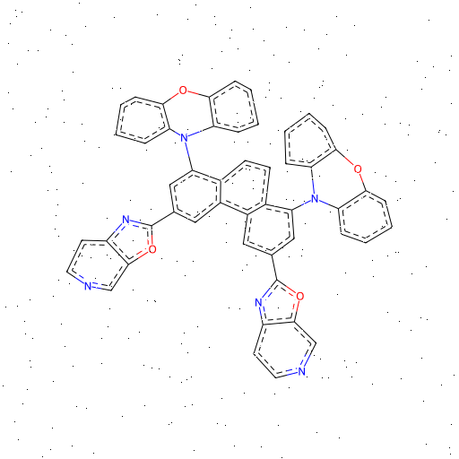 c1ccc2c(c1)Oc1ccccc1N2c1cc(-c2nc3ccncc3o2)cc2c1ccc1c(N3c4ccccc4Oc4ccccc43)cc(-c3nc4ccncc4o3)cc12